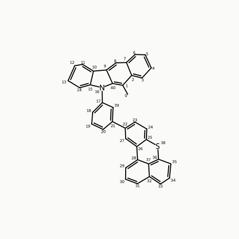 Cc1c2ccccc2cc2c3ccccc3n(-c3cccc(-c4ccc5c(c4)-c4cccc6cccc(c46)S5)c3)c12